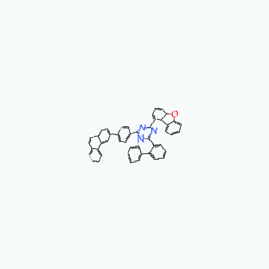 C1=CC2Oc3ccccc3C2C(c2nc(-c3ccc(-c4ccc5ccc6ccccc6c5c4)cc3)nc(-c3ccccc3-c3ccccc3)n2)=C1